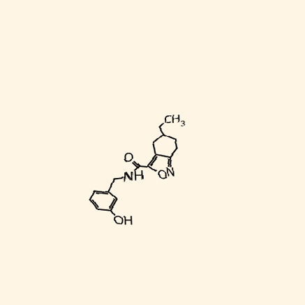 CCC1CCc2noc(C(=O)NCc3cccc(O)c3)c2C1